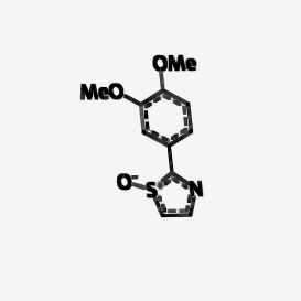 COc1ccc(-c2ncc[s+]2[O-])cc1OC